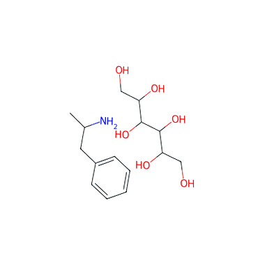 CC(N)Cc1ccccc1.OCC(O)C(O)C(O)C(O)CO